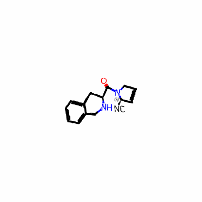 N#C[C@@H]1C=CCN1C(=O)C1Cc2ccccc2CN1